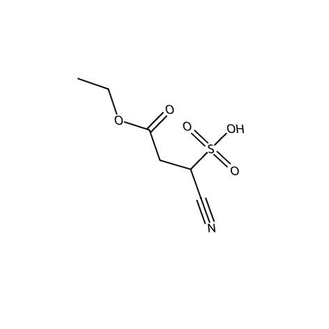 CCOC(=O)CC(C#N)S(=O)(=O)O